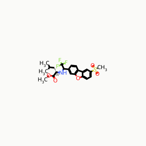 COC(=O)[C@H](CC(C)C)NC(c1ccc2c(c1)oc1ccc(S(C)(=O)=O)cc12)C(F)(F)F